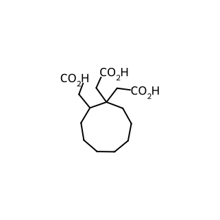 O=C(O)CC1CCCCCCCC1(CC(=O)O)CC(=O)O